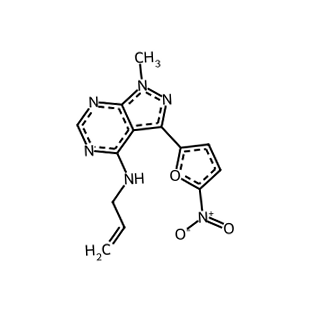 C=CCNc1ncnc2c1c(-c1ccc([N+](=O)[O-])o1)nn2C